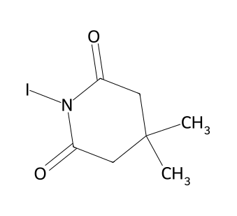 CC1(C)CC(=O)N(I)C(=O)C1